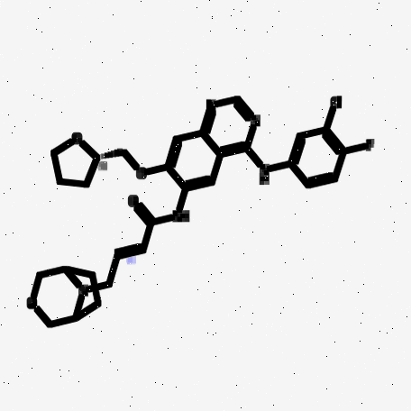 O=C(/C=C/CN1C2CCC1COC2)Nc1cc2c(Nc3ccc(F)c(Cl)c3)ncnc2cc1OC[C@@H]1CCCO1